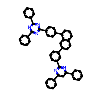 c1ccc(-c2cc(-c3ccccc3)nc(-c3cccc(-c4ccc5cccc(-c6ccc(-c7nc(-c8ccccc8)nc(-c8ccccc8)n7)cc6)c5c4)c3)n2)cc1